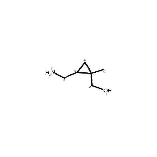 CC1(CO)CC1CN